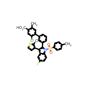 Cc1ccc(S(=O)(=O)n2c(-c3cccc(-c4cc(C)c(C(=O)O)cc4Cl)c3)c(-c3ccsc3C#N)c3cc(F)ccc32)cc1